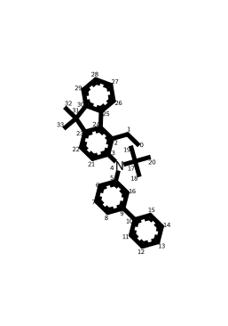 CCc1c(N(c2cccc(-c3ccccc3)c2)C(C)(C)C)ccc2c1-c1ccccc1C2(C)C